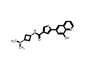 CN(C)[C@H]1C[C@@H](NC(=O)c2csc(-c3cc(O)c4ncccc4c3)c2)C1